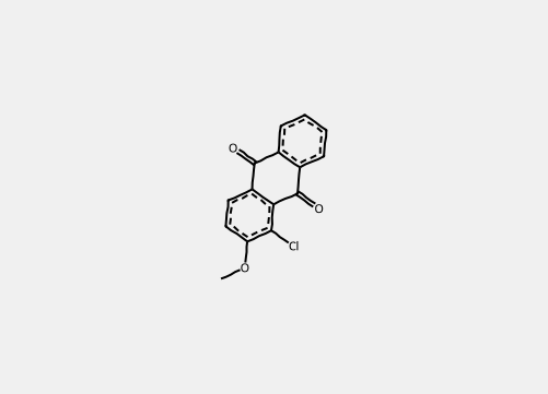 COc1ccc2c(c1Cl)C(=O)c1ccccc1C2=O